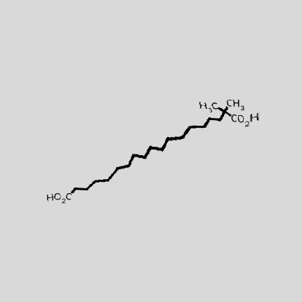 CC(C)(CCCCCCCCCCCCCCCCC(=O)O)C(=O)O